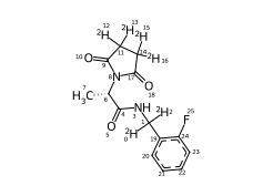 [2H]C([2H])(NC(=O)[C@H](C)N1C(=O)C([2H])([2H])C([2H])([2H])C1=O)c1ccccc1F